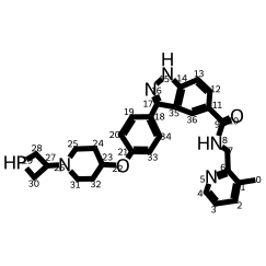 Cc1cccnc1CNC(=O)c1ccc2[nH]nc(-c3ccc(OC4CCN(C5CPC5)CC4)cc3)c2c1